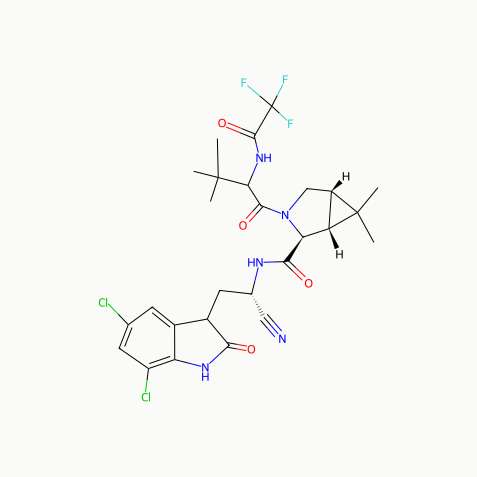 CC(C)(C)C(NC(=O)C(F)(F)F)C(=O)N1C[C@H]2[C@@H]([C@H]1C(=O)N[C@H](C#N)CC1C(=O)Nc3c(Cl)cc(Cl)cc31)C2(C)C